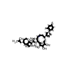 CC(C)C[C@@H]1CCO[C@@H]2[C@H](CN[C@@H]2C(=O)N[C@H]2C3OC(S[C@H](c4cn(-c5ccc(F)cc5F)nn4)C/C=C\[C@H]2C)C(O)C(O)C3O)C1